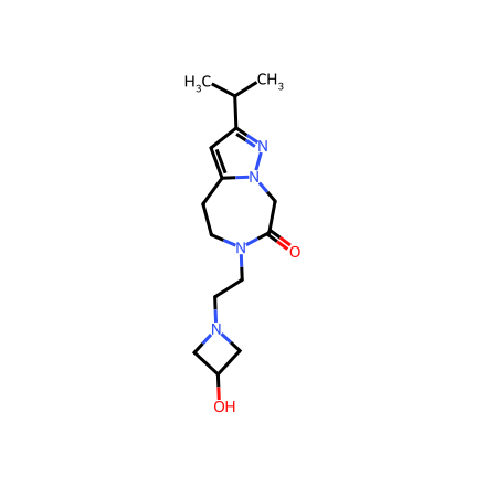 CC(C)c1cc2n(n1)CC(=O)N(CCN1CC(O)C1)CC2